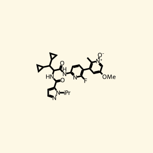 COc1cc(-c2ccc(NC(=O)C(NC(=O)c3ccnn3C(C)C)C(C3CC3)C3CC3)nc2F)c(C)[n+]([O-])c1